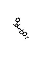 Cc1cc(/C=C/C2CCc3cc(N(C)C)ccc3N2C)c(C)n1-c1ccccc1